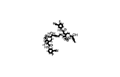 CC#C[C@@H](O)[C@H]1CCc2c(cn(CCC#C[C@H](O)[C@H]3CCc4c(cn(C)c4C(=O)Nc4ccc(F)c(C#N)c4)S(=O)(=O)N3)c2C(=O)Nc2ccc(F)c(C#N)c2)S(=O)(=O)N1